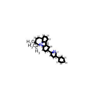 C[C@H]1n2c3ccc(-c4ccc(-c5ccccc5)cn4)cc3c3cccc(c32)C=CC1(C)C